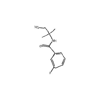 CC(C)(CO)NC(=O)c1cccc(F)c1